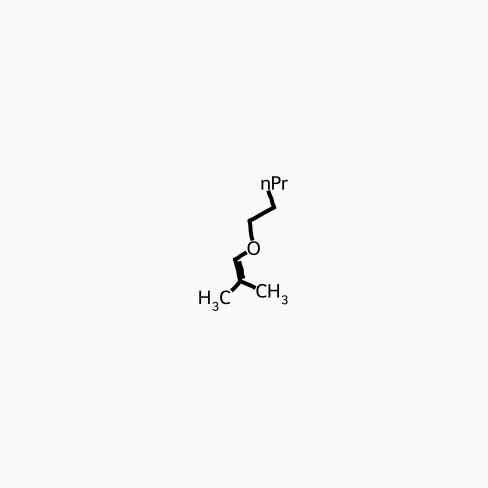 CCCCCOC=C(C)C